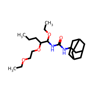 CCCC(OCCOCC)C(NC(=O)NC12CC3CC(CC(C3)C1)C2)OCC